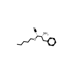 CCCCCO[C@H](C#N)[C@H](N)Cc1ccccc1